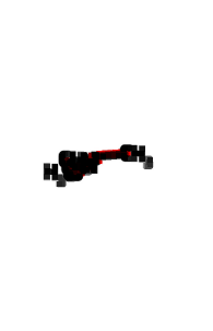 CCCCCCCCCCCc1ccc(-c2ncc(-c3ccc(OC(C)C(=O)OCCC)cc3)cn2)cc1